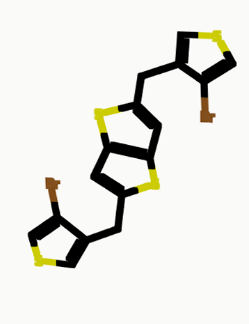 Brc1cscc1Cc1cc2sc(Cc3cscc3Br)cc2s1